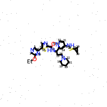 CCOc1cncc(-c2cnc(C(=O)NC(CCN3CCCCC3)c3cc(NSC4CC4)ccn3)s2)n1